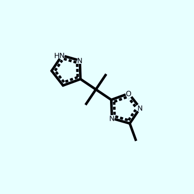 Cc1noc(C(C)(C)c2cc[nH]n2)n1